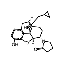 O=C1CCCN1[C@H]1CC[C@@]2(O)[C@H]3Cc4ccc(O)c5c4[C@@]2(CCN3CC2CC2)[C@H]1O5